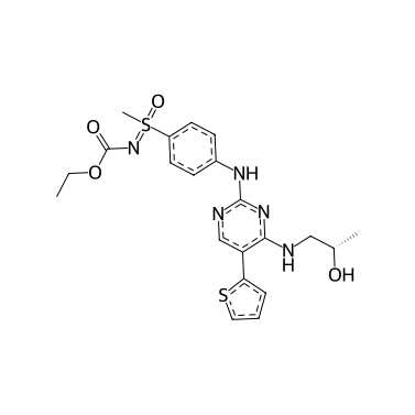 CCOC(=O)N=S(C)(=O)c1ccc(Nc2ncc(-c3cccs3)c(NC[C@H](C)O)n2)cc1